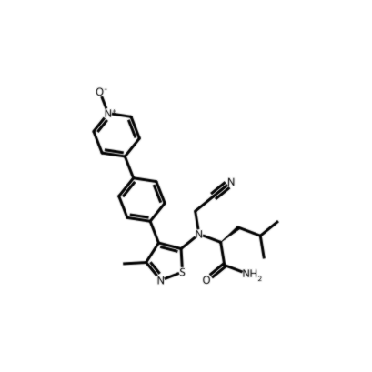 Cc1nsc(N(CC#N)[C@@H](CC(C)C)C(N)=O)c1-c1ccc(-c2cc[n+]([O-])cc2)cc1